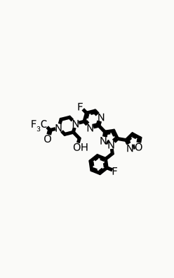 O=C(N1CCN(c2nc(-c3cc(-c4ccon4)n(Cc4ccccc4F)n3)ncc2F)C(CO)C1)C(F)(F)F